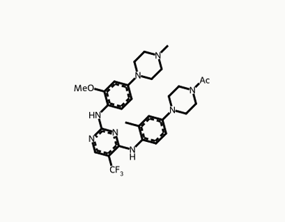 COc1cc(N2CCN(C)CC2)ccc1Nc1ncc(C(F)(F)F)c(Nc2ccc(N3CCN(C(C)=O)CC3)cc2C)n1